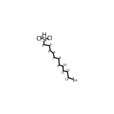 Cl[SiH](Cl)CCCCCCCCCCCI